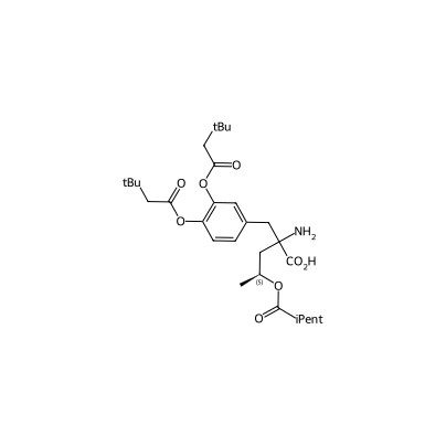 CCCC(C)C(=O)O[C@@H](C)CC(N)(Cc1ccc(OC(=O)CC(C)(C)C)c(OC(=O)CC(C)(C)C)c1)C(=O)O